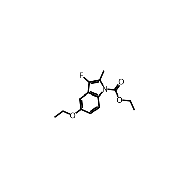 CCOC(=O)n1c(C)c(F)c2cc(OCC)ccc21